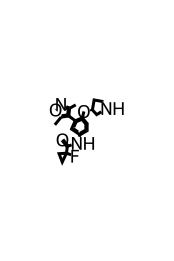 Cc1noc(C)c1-c1cc(NC(=O)C2(F)CC2)ccc1O[C@H]1CCNC1